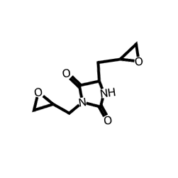 O=C1NC(CC2CO2)C(=O)N1CC1CO1